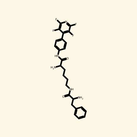 NC(Cc1ccccc1)C(=O)NCCCCC(N)C(=O)Nc1ccc(-c2c(F)c(F)nc(F)c2F)cc1